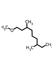 CCC(C)CCCC(C)CCOC